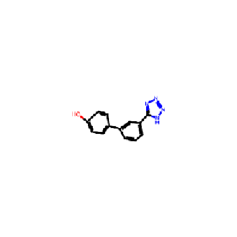 Oc1ccc(-c2cccc(-c3nnn[nH]3)c2)cc1